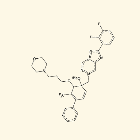 COC1(Cn2cc3nc(-c4cccc(F)c4F)nc-3cn2)C=CC(c2ccccc2)=C(C(F)(F)F)C1OCCCN1CCOCC1